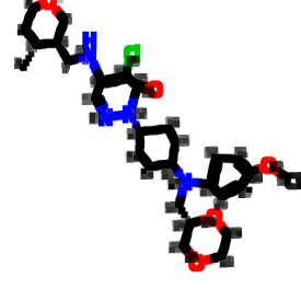 C[C@@H]1CCOC[C@H]1CNc1cnn([C@H]2CC[C@H](N(C[C@H]3COCCO3)c3ccc(OC(F)(F)F)cc3)CC2)c(=O)c1Cl